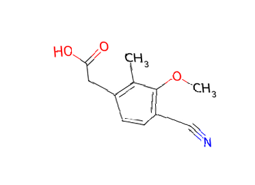 COc1c(C#N)ccc(CC(=O)O)c1C